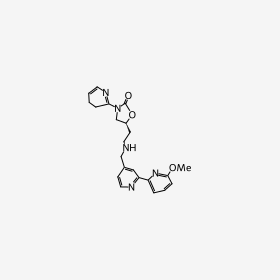 COc1cccc(-c2cc(CNCC[C@H]3CN(C4=NC=CCC4)C(=O)O3)ccn2)n1